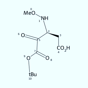 CON[C@@H](CC(=O)O)C(=O)C(=O)OC(C)(C)C